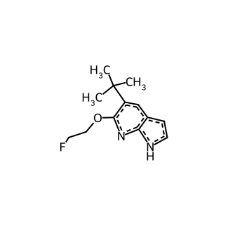 CC(C)(C)c1cc2cc[nH]c2nc1OCCF